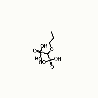 CCCOC(P(=O)(O)O)P(=O)(O)O